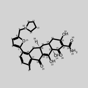 Cc1ccc(-c2ccc(CN3CCCC3)o2)c2c1C(=O)C1=C(O)[C@]3(O)C(=O)C(C(N)=O)=C(O)CC3C[C@@H]1C2